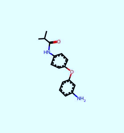 CC(C)C(=O)Nc1ccc(Oc2cccc(N)c2)cc1